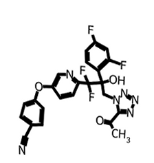 CC(=O)c1nnnn1CC(O)(c1ccc(F)cc1F)C(F)(F)c1ccc(Oc2ccc(C#N)cc2)cn1